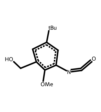 COc1c(CO)cc(C(C)(C)C)cc1N=C=O